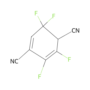 N#CC1=CC(F)(F)C(C#N)C(F)=C1F